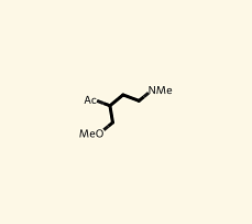 CNCCC(COC)C(C)=O